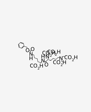 O=C(O)CN(CCCC[C@@H](C(=O)N[C@@H](CCCCNC(=O)OCc1ccccc1)C(=O)O)N(CC(=O)O)CC(=O)O)CC(=O)O